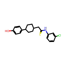 Oc1ccc(C2CCC(CC(=S)Nc3cccc(Cl)c3)CC2)cc1